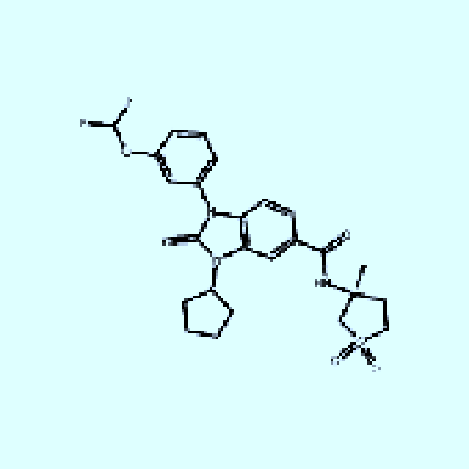 C[C@@]1(NC(=O)c2ccc3c(c2)n(C2CCCC2)c(=O)n3-c2cccc(OC(F)F)c2)CCS(=O)(=O)C1